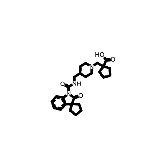 O=C(NCC1CCN(CC2(C(=O)O)CCCC2)CC1)N1C(=O)C2(CCCC2)c2ccccc21